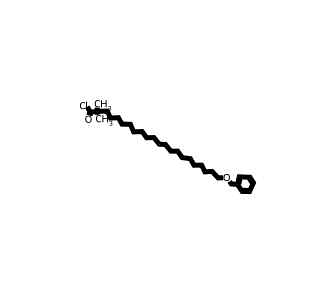 CC(C)(CCCCCCCCCCCCCCCCCCCCOCc1ccccc1)C(=O)Cl